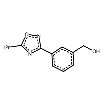 CC(C)c1nc(-c2cccc(CO)c2)no1